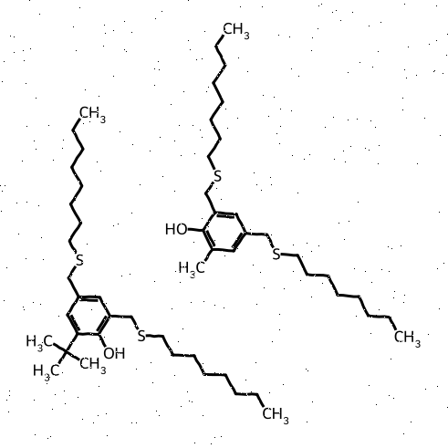 CCCCCCCCSCc1cc(C)c(O)c(CSCCCCCCCC)c1.CCCCCCCCSCc1cc(CSCCCCCCCC)c(O)c(C(C)(C)C)c1